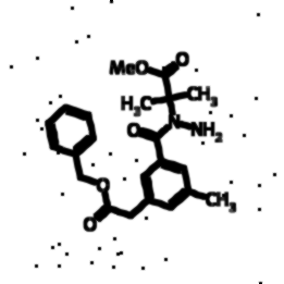 COC(=O)C(C)(C)N(N)C(=O)c1cc(C)cc(CC(=O)OCc2ccccc2)c1